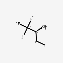 CC[C@H](O)C(F)(F)F